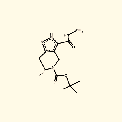 C[C@@H]1Cc2n[nH]c(C(=O)NN)c2CN1C(=O)OC(C)(C)C